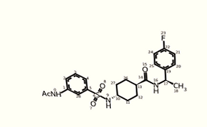 CC(=O)Nc1cccc(S(=O)(=O)N[C@H]2CC[C@H](C(=O)N[C@H](C)c3ccc(F)cc3)CC2)c1